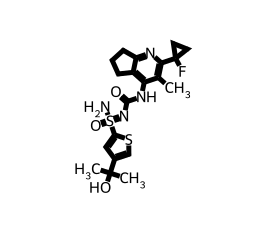 Cc1c(C2(F)CC2)nc2c(c1NC(=O)N=S(N)(=O)c1cc(C(C)(C)O)cs1)CCC2